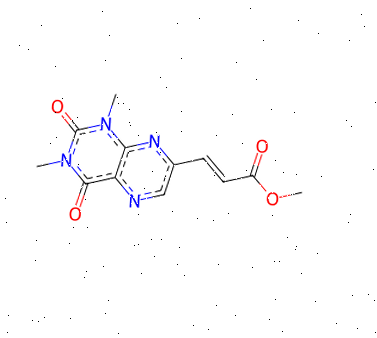 COC(=O)C=Cc1cnc2c(=O)n(C)c(=O)n(C)c2n1